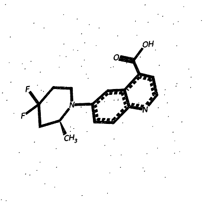 C[C@H]1CC(F)(F)CCN1c1ccc2nccc(C(=O)O)c2c1